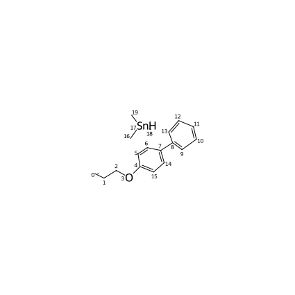 [CH2]CCOc1ccc(-c2ccccc2)cc1.[CH3][SnH]([CH3])[CH3]